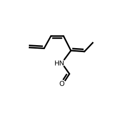 C=C/C=C\C(=C/C)NC=O